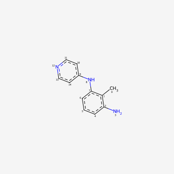 Cc1c(N)cccc1Nc1ccncc1